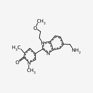 COCCn1c(-c2cc(C)c(=O)n(C)c2)nc2cc(CN)ccc21